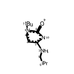 CC(C)CNc1ccn(C(C)(C)C)c(=O)n1